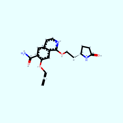 C=C=COc1cc2c(OCC[C@@H]3CCC(=O)N3)nccc2cc1C(N)=O